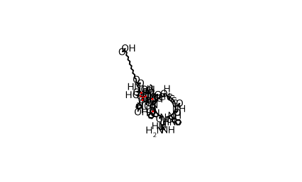 CCCC[C@H](NC(=O)[C@@H](NC(=O)[C@H](Cc1ccc(O)cc1)NC(=O)[C@H](CO)NC(=O)[C@H](CO)NC(=O)CNC(=O)COCCCCCCCCCCCCC(=O)O)[C@@H](C)O)C(=O)N[C@H]1CCC(=O)NCCCC[C@@H](C(C)=O)NC(=O)[C@H](Cc2c[nH]c3ccccc23)NC(=O)[C@H](CCCNC(=N)N)NC(=O)[C@@H](Cc2ccccc2)NC(=O)[C@@H]2C[C@@H](O)CN2C1=O